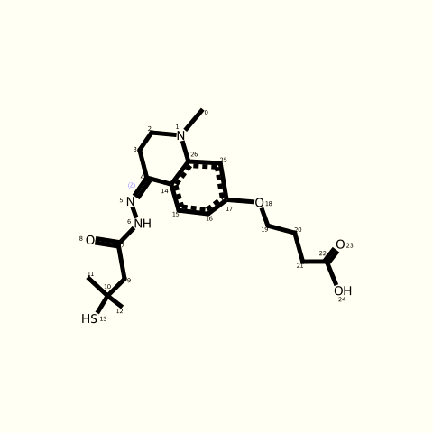 CN1CC/C(=N/NC(=O)CC(C)(C)S)c2ccc(OCCCC(=O)O)cc21